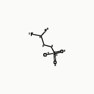 O=S(=O)(Cl)CCC(F)F